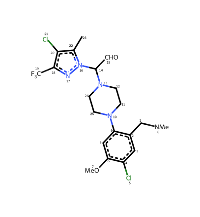 CNCc1cc(Cl)c(OC)cc1N1CCN(C(C=O)n2nc(C(F)(F)F)c(Cl)c2C)CC1